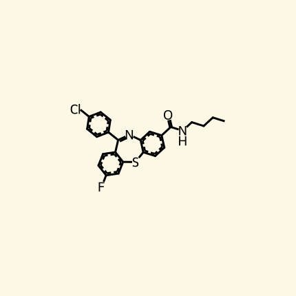 CCCCNC(=O)c1ccc2c(c1)N=C(c1ccc(Cl)cc1)c1ccc(F)cc1S2